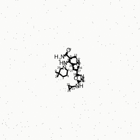 CC1(C)CCCN(Nc2c(C(N)=O)cnn3cc(-c4nnc(NC5CC5)o4)cc23)C1